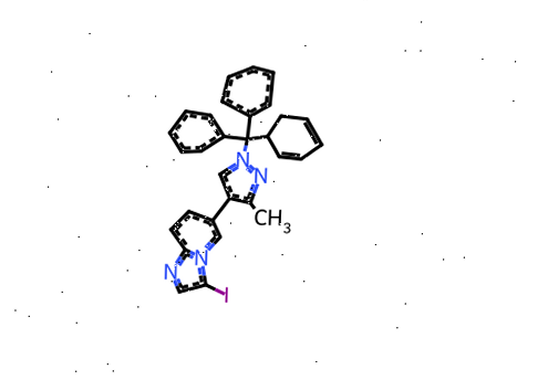 Cc1nn(C(c2ccccc2)(c2ccccc2)C2C=CC=CC2)cc1-c1ccc2ncc(I)n2c1